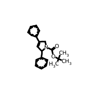 CC(C)(C)OC(=O)N1CC(c2ccccc2)=CC1c1ccccc1